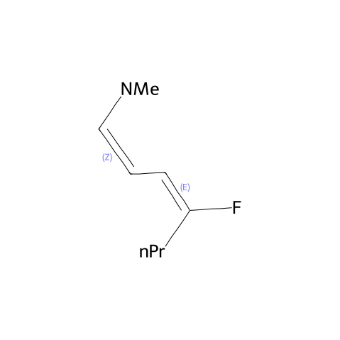 CCC/C(F)=C\C=C/NC